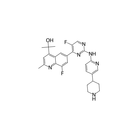 Cc1cc(C(C)(C)O)c2cc(-c3nc(Nc4ccc(C5CCNCC5)cn4)ncc3F)cc(F)c2n1